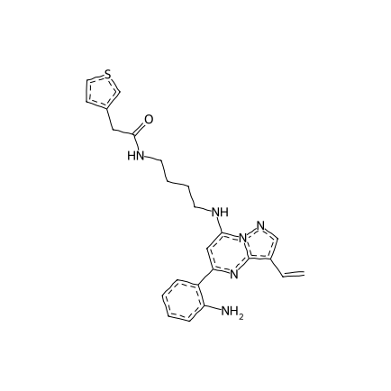 C=Cc1cnn2c(NCCCCNC(=O)Cc3ccsc3)cc(-c3ccccc3N)nc12